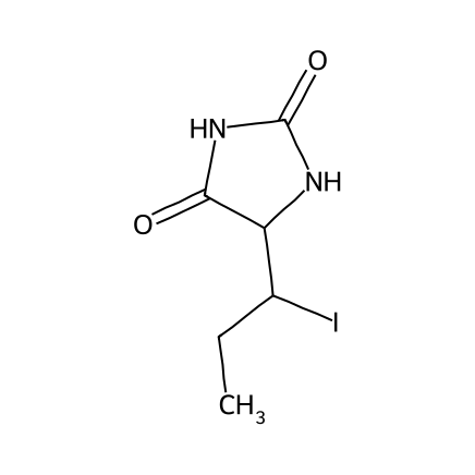 CCC(I)C1NC(=O)NC1=O